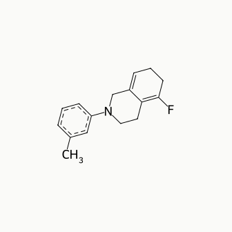 Cc1cccc(N2CCC3=C(F)CCC=C3C2)c1